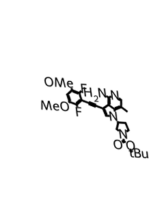 COc1cc(OC)c(F)c(C#Cc2cn(C3CCN(C(=O)OC(C)(C)C)C3)c3c(C)cnc(N)c23)c1F